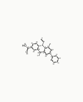 C=CCc1c(C)nc(-c2ccccc2)nc1N(C)c1cccc(C(=O)O)c1